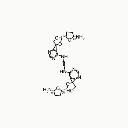 N[C@H]1CC[C@@H](COC2(CO)c3ncnc(NC#CNc4ncnc5c4C5(CO)OC[C@@H]4CC[C@H](N)O4)c32)O1